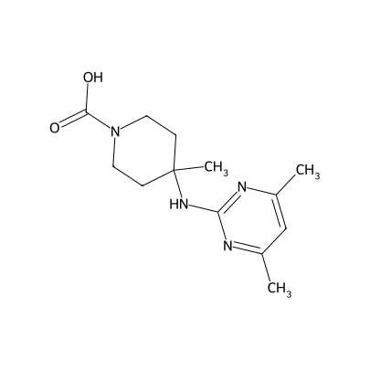 Cc1cc(C)nc(NC2(C)CCN(C(=O)O)CC2)n1